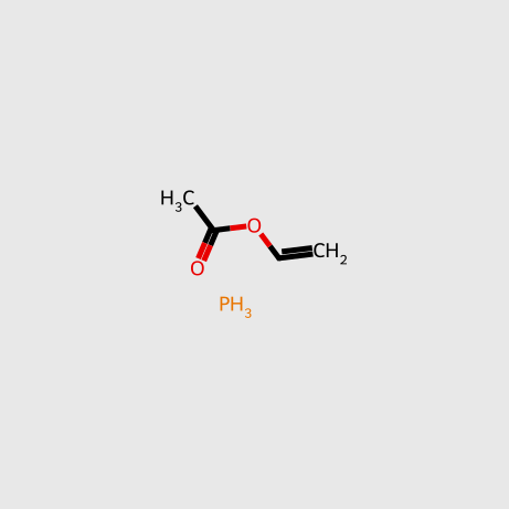 C=COC(C)=O.P